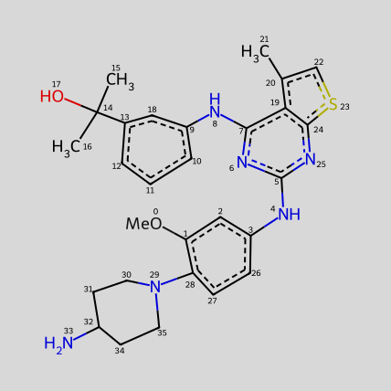 COc1cc(Nc2nc(Nc3cccc(C(C)(C)O)c3)c3c(C)csc3n2)ccc1N1CCC(N)CC1